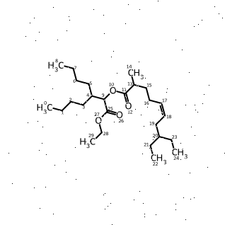 CCCCC(CCCC)C(OC(=O)C(C)CC/C=C\CC(CC)CC)C(=O)OCC